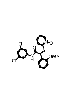 COc1ccccc1C(Sc1cccc[n+]1[O-])C(=O)Nc1cc(Cl)cc(Cl)c1